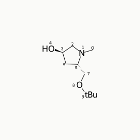 CN1C[C@H](O)C[C@H]1COC(C)(C)C